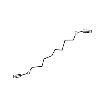 N#COCCCCCCCCOC#N